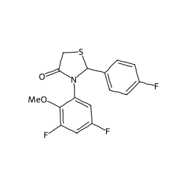 COc1c(F)cc(F)cc1N1C(=O)CSC1c1ccc(F)cc1